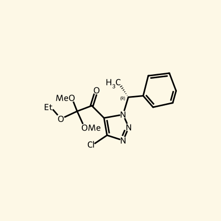 CCOC(OC)(OC)C(=O)c1c(Cl)nnn1[C@H](C)c1ccccc1